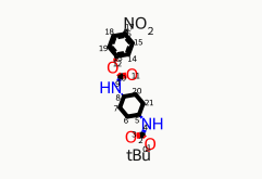 CC(C)(C)OC(=O)N[C@H]1CC[C@H](NC(=O)Oc2ccc([N+](=O)[O-])cc2)CC1